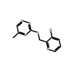 Cc1cnnc(SCc2ncccc2Cl)n1